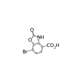 O=C(O)c1ccc(Br)c2oc(=O)[nH]c12